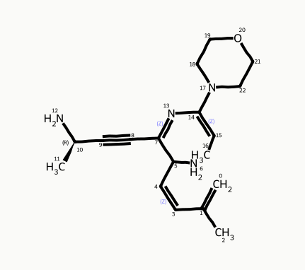 C=C(C)/C=C\C(N)/C(C#C[C@@H](C)N)=N\C(=C/C)N1CCOCC1